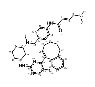 CN(C)C/C=C/C(=O)Nc1ccc(CN(C)[C@H]2CCC[C@@H](Nc3ncc(Cl)c(/C4=C/CCCCc5ccccc54)n3)C2)nc1